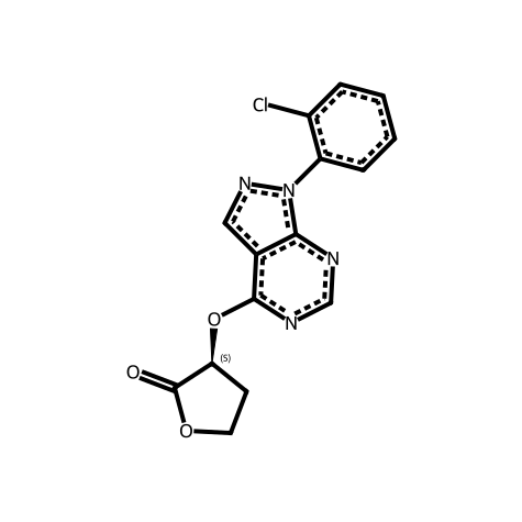 O=C1OCC[C@@H]1Oc1ncnc2c1cnn2-c1ccccc1Cl